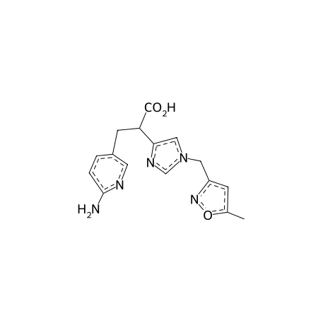 Cc1cc(Cn2cnc(C(Cc3ccc(N)nc3)C(=O)O)c2)no1